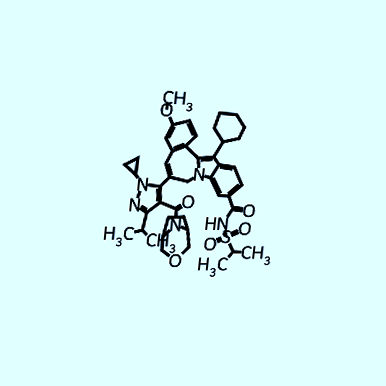 COc1ccc2c(c1)C=C(c1c(C(=O)N3C4CCC3COC4)c(C(C)C)nn1C1CC1)Cn1c-2c(C2CCCCC2)c2ccc(C(=O)NS(=O)(=O)C(C)C)cc21